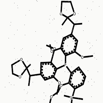 COCOc1c(P(c2c(OC)cc(C(C)C3(C)OCCO3)cc2OC)c2c(OC)cc(C(C)C3(C)OCCO3)cc2OC)cccc1[Si](C)(C)C